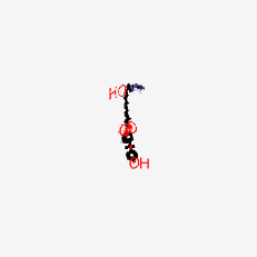 C/C=C/C(C)(C)C(O)CCCCCCCCC(=O)Oc1ccc(C(C)(C)c2ccc(O)cc2)cc1